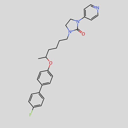 CC(CCCCN1CCN(c2ccncc2)C1=O)Oc1ccc(-c2ccc(F)cc2)cc1